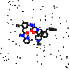 CCc1ccc(NC(=O)CN(Cc2ccccc2CNC)C(=O)C2(C(C)C)CCN(C(C)=O)CC2)cc1CC(=O)Nc1ccccn1